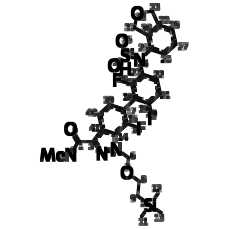 CNC(=O)c1nn(COCC[Si](C)(C)C)c2c(F)c(-c3c(F)ccc(N(c4cccc5c4COC5)[SH](=O)=O)c3F)ccc12